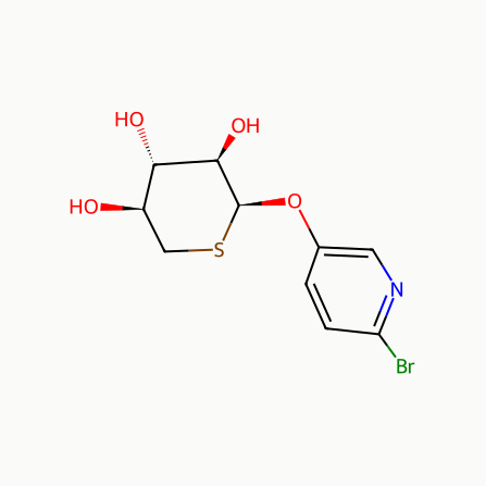 O[C@@H]1[C@@H](O)[C@@H](Oc2ccc(Br)nc2)SC[C@H]1O